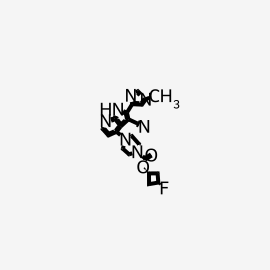 Cn1cnc(-c2[nH]c3nccc(N4CCN(C(=O)O[C@H]5C[C@H](F)C5)CC4)c3c2C#N)c1